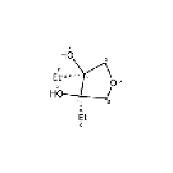 CC[C@@]1(O)COC[C@@]1(O)CC